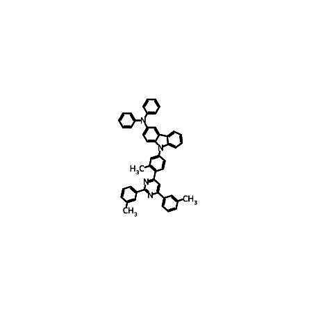 Cc1cccc(-c2cc(-c3ccc(-n4c5ccccc5c5cc(N(c6ccccc6)c6ccccc6)ccc54)cc3C)nc(-c3cccc(C)c3)n2)c1